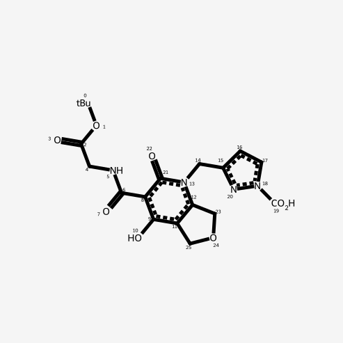 CC(C)(C)OC(=O)CNC(=O)c1c(O)c2c(n(Cc3ccn(C(=O)O)n3)c1=O)COC2